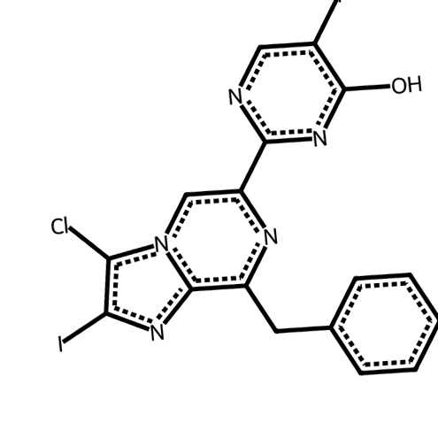 Oc1nc(-c2cn3c(Cl)c(I)nc3c(Cc3ccccc3)n2)ncc1I